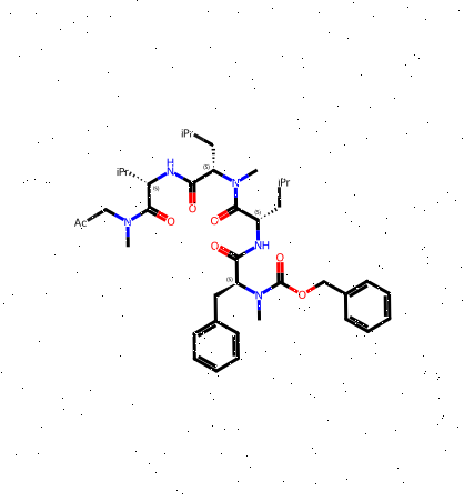 CC(=O)CN(C)C(=O)[C@@H](NC(=O)[C@H](CC(C)C)N(C)C(=O)[C@H](CC(C)C)NC(=O)[C@H](Cc1ccccc1)N(C)C(=O)OCc1ccccc1)C(C)C